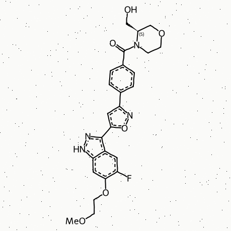 COCCOc1cc2[nH]nc(-c3cc(-c4ccc(C(=O)N5CCOC[C@@H]5CO)cc4)no3)c2cc1F